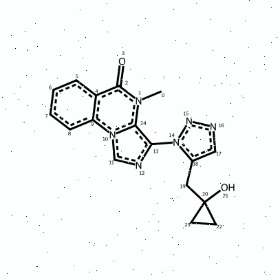 Cn1c(=O)c2ccccc2n2cnc(-n3nncc3CC3(O)CC3)c12